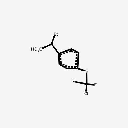 CCC(C(=O)O)c1ccc(SC(F)(F)Cl)cc1